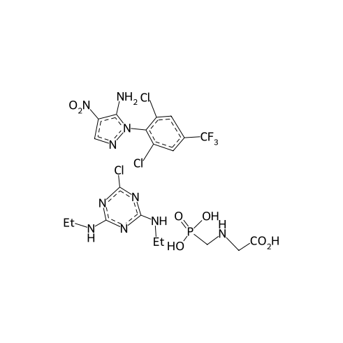 CCNc1nc(Cl)nc(NCC)n1.Nc1c([N+](=O)[O-])cnn1-c1c(Cl)cc(C(F)(F)F)cc1Cl.O=C(O)CNCP(=O)(O)O